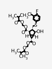 CC(C)C(=O)OCOC(=O)[C@@H]1[C@H](CSc2ccc(F)c(Cl)c2)[C@@H](O)[C@H]2[C@H](C(=O)OCOC(=O)C(C)C)[C@@H]12